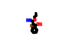 CCCOC(=N)c1sc2ccccc2c1O